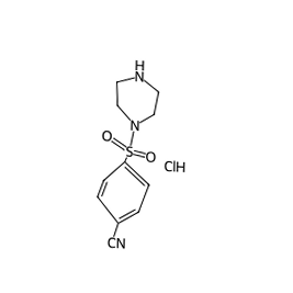 Cl.N#Cc1ccc(S(=O)(=O)N2CCNCC2)cc1